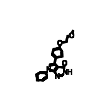 COCCOc1ccc(-c2cn(-c3ccccc3)c3nc[nH]c(=O)c23)cc1